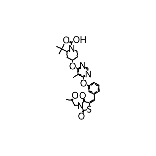 CC(=O)CN1C(=O)SC(=Cc2cccc(Oc3ncnc(OC4CCN(C(=O)O)C(C(C)(C)C)C4)c3C)c2)C1=O